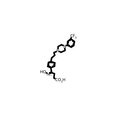 O=C(O)CC/C(=N/O)c1ccc(CCCN2CCN(c3cccc(C(F)(F)F)c3)CC2)cc1